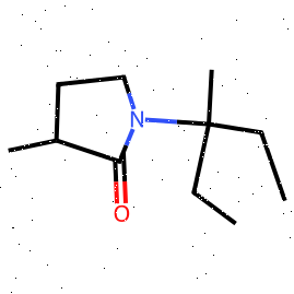 CCC(C)(CC)N1CCC(C)C1=O